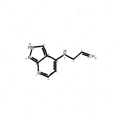 C=CCNc1ccnc2n[nH]cc12